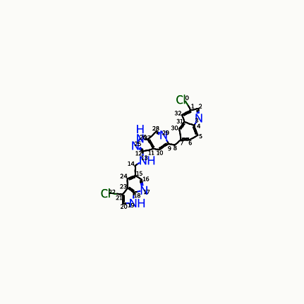 Clc1cnc2ccc(Cc3cc4c(NCc5cnc6[nH]cc(Cl)c6c5)n[nH]c4cn3)cc2c1